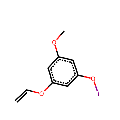 C=COc1cc(OC)cc(OI)c1